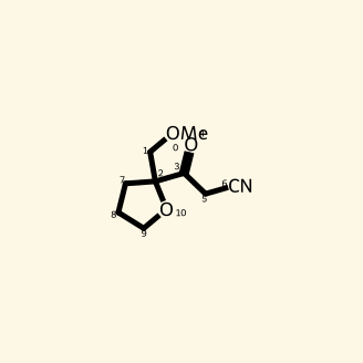 COCC1(C(=O)CC#N)CCCO1